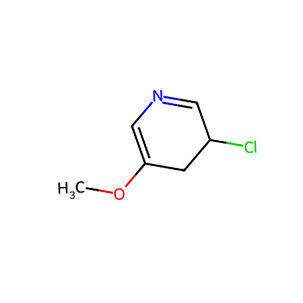 COC1=CN=CC(Cl)C1